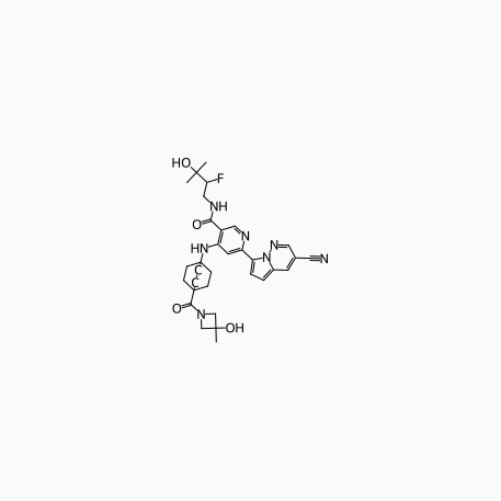 CC1(O)CN(C(=O)C23CCC(Nc4cc(-c5ccc6cc(C#N)cnn56)ncc4C(=O)NCC(F)C(C)(C)O)(CC2)CC3)C1